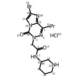 CC(C)c1nn(CC(=O)N[C@@H]2CCCNC2)c(=O)n2cc(Br)nc12.Cl